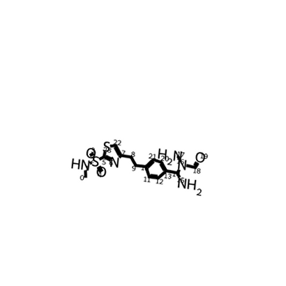 CNS(=O)(=O)c1nc(CCc2ccc(C(N)N(N)C=O)cc2)cs1